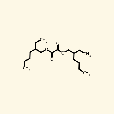 CCCCC(CC)COC(=O)C(=O)OCC(CC)CCCC